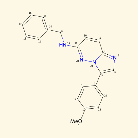 COc1ccc(-c2cnc3ccc(NCc4ccccc4)nn23)cc1